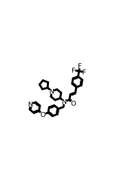 O=C(/C=C/c1ccc(C(F)(F)F)cc1)N(Cc1ccc(Oc2ccncc2)cc1)C1CCN(C2CCCC2)CC1